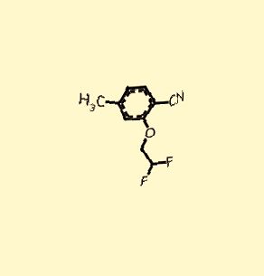 Cc1ccc(C#N)c(OCC(F)F)c1